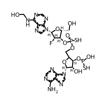 Nc1ncnc2c1ncn2[C@@H]1OC(COP(=O)(S)O[C@H]2[C@@H](F)[C@H](n3cnc4c(NCO)ncnc43)O[C@@H]2CO)[C@@H](OP(O)S)[C@H]1O